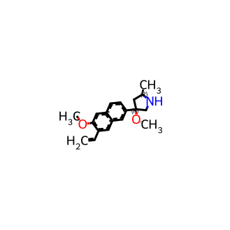 C=Cc1cc2cc([C@@]3(OC)CN[C@H](C)C3)ccc2cc1OC